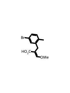 CO/C=C(\Cc1cc(Br)ccc1C)C(=O)O